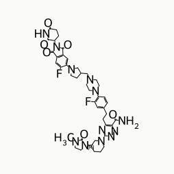 CN1CCN([C@@H]2CCCN(c3nnc(C(N)=O)c(CCc4ccc(N5CCN(CC6CCN(c7cc8c(cc7F)C(=O)N(C7CCC(=O)NC7=O)C8=O)C6)CC5)c(F)c4)n3)C2)C1=O